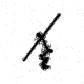 COCCOCCOCCOCCOCCOCCOCCOCCNC(=O)c1cc(N2C(=O)C=CC2=O)cc(C(=O)NCCOCCOCCOCCOCCOCCOCCOCCOC)c1OCCCC(=O)NCC(=O)NCC(=O)N[C@@H](Cc1ccccc1)C(=O)NCC(=O)NCO[C@@H](C(=O)NCc1c2c(nc3cc(F)c(C)cc13)-c1cc3c(c(=O)n1C2)COC(=O)[C@]3(O)CC1CC1)C1CC1